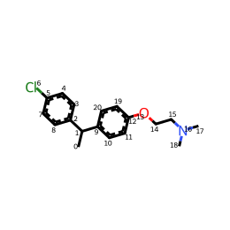 CC(c1ccc(Cl)cc1)c1ccc(OCCN(C)C)cc1